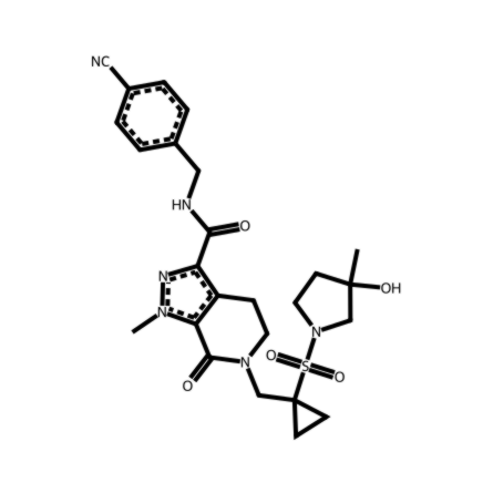 Cn1nc(C(=O)NCc2ccc(C#N)cc2)c2c1C(=O)N(CC1(S(=O)(=O)N3CCC(C)(O)C3)CC1)CC2